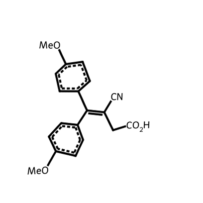 COc1ccc(C(=C(C#N)CC(=O)O)c2ccc(OC)cc2)cc1